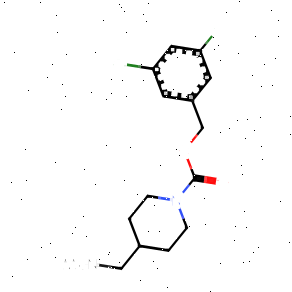 CNCC1CCN(C(=O)OCc2cc(Cl)cc(Cl)c2)CC1